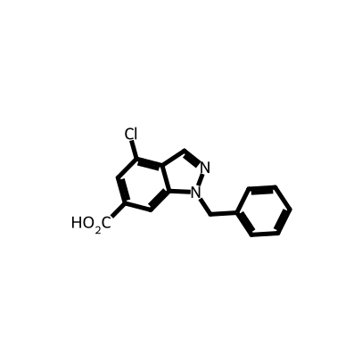 O=C(O)c1cc(Cl)c2cnn(Cc3ccccc3)c2c1